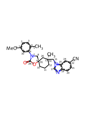 COc1ccc(C)c(N2C[C@@]3(CCC[C@](C)(Cn4cnc5ccc(C#N)cc54)C3)OC2=O)c1